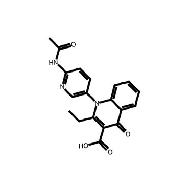 CCc1c(C(=O)O)c(=O)c2ccccc2n1-c1ccc(NC(C)=O)nc1